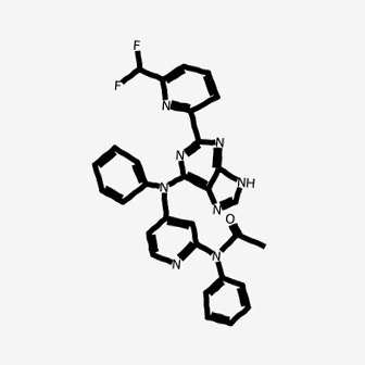 CC(=O)N(c1ccccc1)c1cc(N(c2ccccc2)c2nc(-c3cccc(C(F)F)n3)nc3[nH]cnc23)ccn1